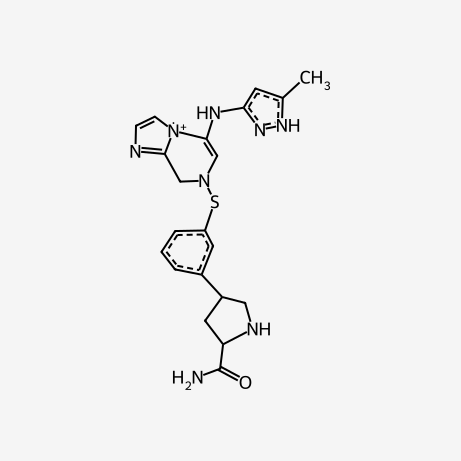 Cc1cc(NC2=CN(Sc3cccc(C4CNC(C(N)=O)C4)c3)CC3=NC=C[N+]23)n[nH]1